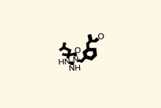 C=C(C=O)Cc1cccc(CN2C(=N)NC(C)(CC(C)C)C2=O)c1